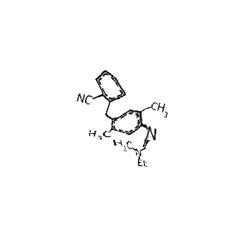 CCN(C)/C=N\c1cc(C)c(Cc2ccccc2C#N)cc1C